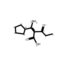 CCC(=O)C(C(=O)O)=C(N)C1CCCC1